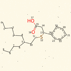 CCCCCC(CCCC)CCSC(CC(=O)O)c1ccccc1